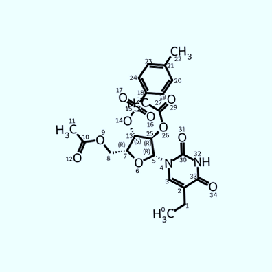 CCc1cn([C@@H]2O[C@H](COC(C)=O)[C@H](OS(=O)(=O)c3ccc(C)cc3)[C@H]2OC(C)=O)c(=O)[nH]c1=O